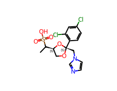 CC([C@@H]1CO[C@@](Cn2ccnc2)(c2ccc(Cl)cc2Cl)O1)S(=O)(=O)O